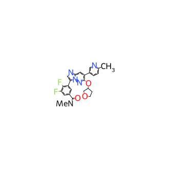 CNC(=O)c1cc(F)c(F)c(-c2cnc3cc(-c4ccc(C)nc4)c(OC4CCOC4)nn23)c1